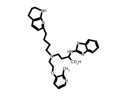 Cc1ncccc1OCCN(CCCCc1ccc2c(n1)NCCC2)CCC(Nc1nc2ccccc2s1)C(=O)O